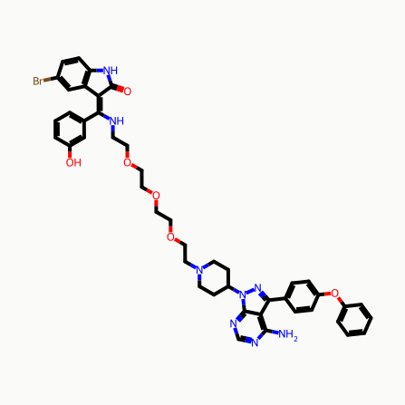 Nc1ncnc2c1c(-c1ccc(Oc3ccccc3)cc1)nn2C1CCN(CCOCCOCCOCCN/C(=C2\C(=O)Nc3ccc(Br)cc32)c2cccc(O)c2)CC1